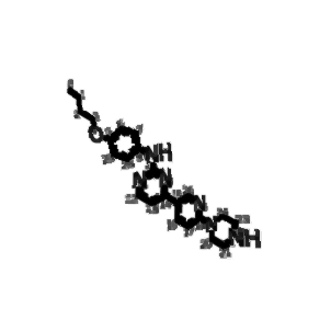 CCCCOc1ccc(Nc2nccc(-c3ccc(N4CCNCC4)nc3)n2)cc1